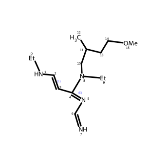 CCN/C=C/C(=N\C=N)N(CC)CC(C)CCOC